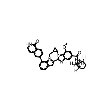 COc1cc(C(=O)N2C[C@H]3CC[C@@H]2[C@@H]3N)cc2nc(-c3cc4cccc(-c5ccc6c(=O)[nH]ccc6c5)c4n3CC3CC3)n(C)c12